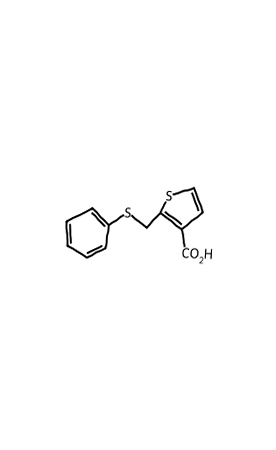 O=C(O)c1ccsc1CSc1ccccc1